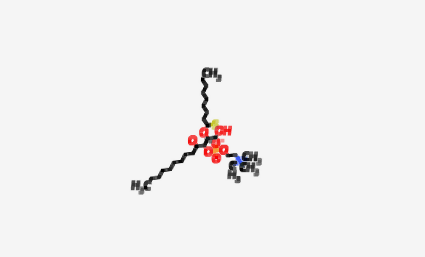 CCCCCCCCCC(=O)C(OP(=O)([O-])OCC[N+](C)(C)C)[C@H](CO)OC(=S)CCCCCCCC